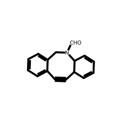 O=CN1Cc2ccccc2C#CC2C=CC=CC21